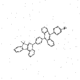 CC1(C)c2ccccc2-c2c1cc(-c1ccc(-c3c4ccccc4c(-c4ccc(F)cc4)c4ccccc34)cc1)c1ccccc21